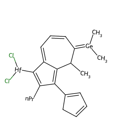 CCCC1=[C]([Hf]([Cl])[Cl])C2=CC=C[C](=[Ge]([CH3])[CH3])C(C)C2=C1C1=CC=CC1